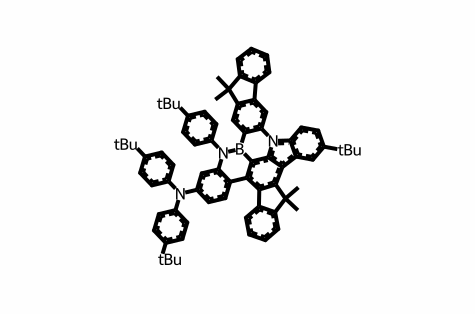 CC(C)(C)c1ccc(N2B3c4cc5c(cc4-n4c6ccc(C(C)(C)C)cc6c6c7c(c(c3c64)-c3ccc(N(c4ccc(C(C)(C)C)cc4)c4ccc(C(C)(C)C)cc4)cc32)-c2ccccc2C7(C)C)-c2ccccc2C5(C)C)cc1